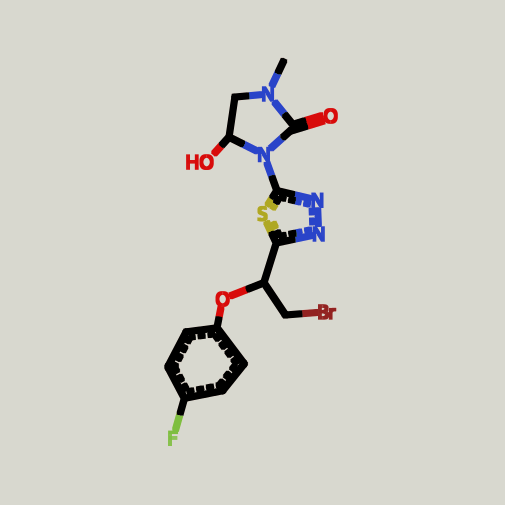 CN1CC(O)N(c2nnc(C(CBr)Oc3ccc(F)cc3)s2)C1=O